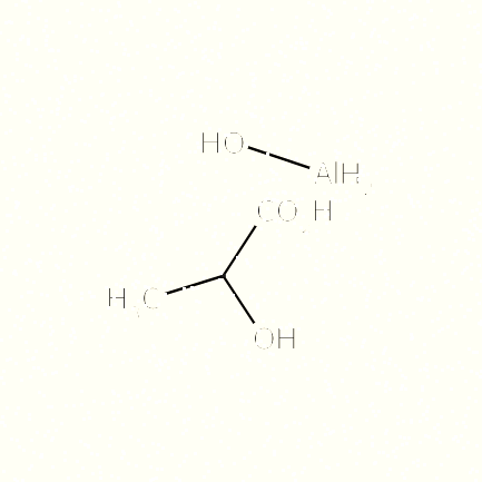 CC(O)C(=O)O.[OH][AlH2]